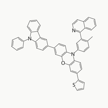 Cc1ccc(N2c3ccc(-c4ccc5c(c4)c4ccccc4n5-c4ccccc4)cc3Oc3cc(-c4cccs4)ccc32)cc1-c1nccc2ccccc12